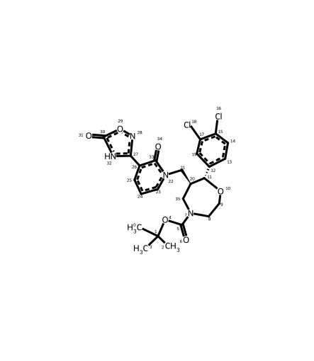 CC(C)(C)OC(=O)N1CCO[C@@H](c2ccc(Cl)c(Cl)c2)[C@H](Cn2cccc(-c3noc(=O)[nH]3)c2=O)C1